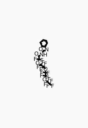 O=C(Nc1nc2ccccc2o1)C(F)(F)OC(F)(F)C(F)(F)OC(F)(F)C(F)(F)OC(F)(F)C(F)(F)F